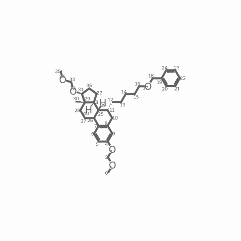 COCOc1ccc2c(c1)C[C@@H](CCCCCOCc1ccccc1)[C@@H]1C2CC[C@]2(C)[C@@H](OCOC)CC[C@@H]12